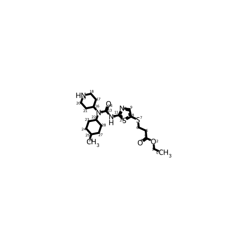 CCOC(=O)CCSc1cnc(NC(=O)N(C2CCNCC2)C2CCC(C)CC2)s1